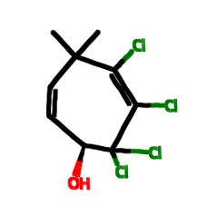 CC1(C)C=C[C@H](O)C(Cl)(Cl)C(Cl)=C1Cl